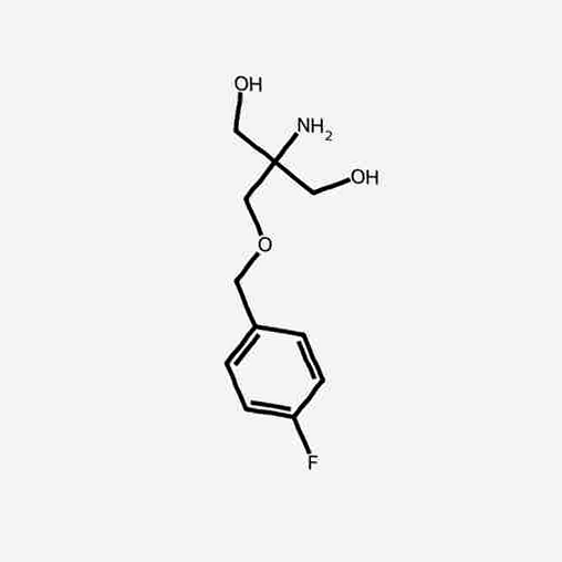 NC(CO)(CO)COCc1ccc(F)cc1